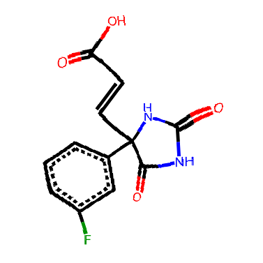 O=C(O)C=CC1(c2cccc(F)c2)NC(=O)NC1=O